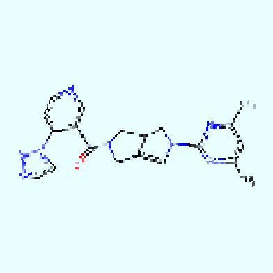 Cc1cc(C)nc(N2C=C3CN(C(=O)c4cnccc4-n4ccnn4)CC3C2)n1